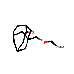 COCOCC12CC3CC(C1)C(O)C(C3)C2